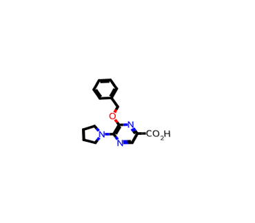 O=C(O)c1cnc(N2CCCC2)c(OCc2ccccc2)n1